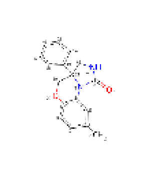 Cc1ccc2c(c1)N1C(=O)NCC1(c1ccccc1)CO2